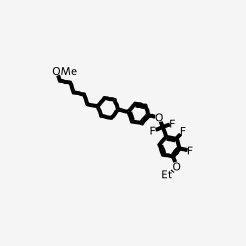 CCOc1ccc(C(F)(F)Oc2ccc(C3CCC(CCCCCOC)CC3)cc2)c(F)c1F